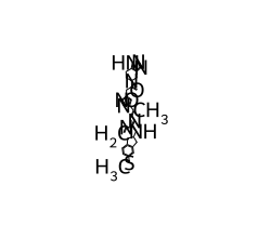 C=N/C(=N\C=C(/C)c1nnc(CC(=O)N2CCc3[nH]nnc3C2)o1)NC1Cc2ccc(SC)cc2C1